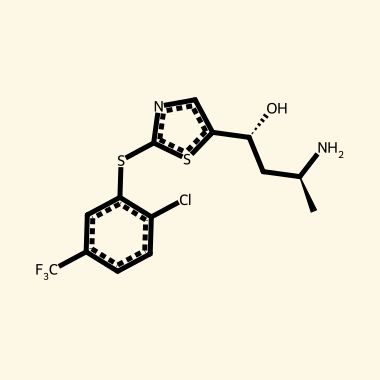 C[C@H](N)C[C@@H](O)c1cnc(Sc2cc(C(F)(F)F)ccc2Cl)s1